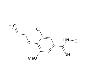 C=CCOc1c(Cl)cc(C(=N)NO)cc1OC